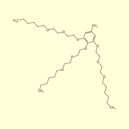 CCCCCCOCCOCCOc1cc(C)cc(OCCOCCOCCCCCC)c1OCCOCCOCCCCCC